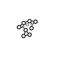 c1ccc(-n2c3ccccc3c3ccc4c5ccc6c7ccccc7n(-c7ccc8c9ccccc9c9ccccc9c8c7)c6c5oc4c32)cc1